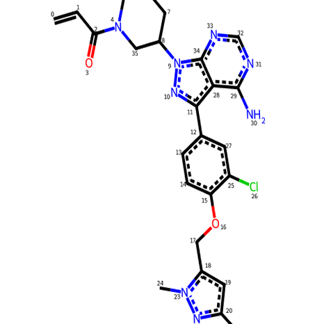 C=CC(=O)N1CCCC(n2nc(-c3ccc(OCc4cc(C)nn4C)c(Cl)c3)c3c(N)ncnc32)C1